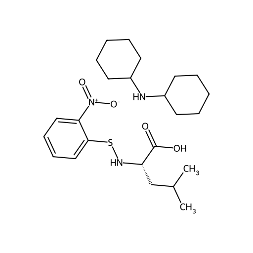 C1CCC(NC2CCCCC2)CC1.CC(C)C[C@H](NSc1ccccc1[N+](=O)[O-])C(=O)O